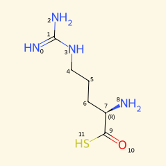 N=C(N)NCCC[C@@H](N)C(=O)S